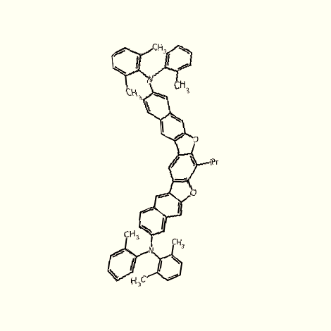 Cc1ccccc1N(c1ccc2cc3c(cc2c1)oc1c(C(C)C)c2oc4cc5cc(N(c6ccccc6C)c6c(C)cccc6C)ccc5cc4c2cc13)c1c(C)cccc1C